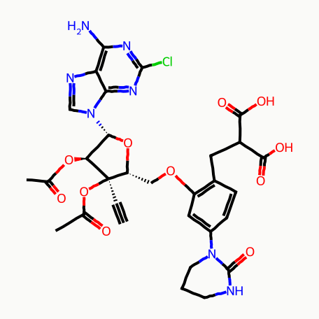 C#C[C@@]1(OC(C)=O)[C@@H](COc2cc(N3CCCNC3=O)ccc2CC(C(=O)O)C(=O)O)O[C@@H](n2cnc3c(N)nc(Cl)nc32)[C@@H]1OC(C)=O